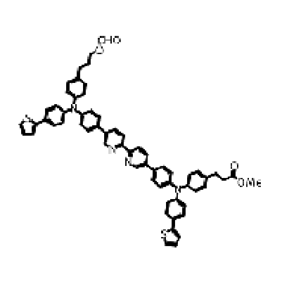 COC(=O)CCc1ccc(N(c2ccc(-c3ccc(-c4ccc(-c5ccc(N(c6ccc(CCCOC=O)cc6)c6ccc(-c7cccs7)cc6)cc5)cn4)nc3)cc2)c2ccc(-c3cccs3)cc2)cc1